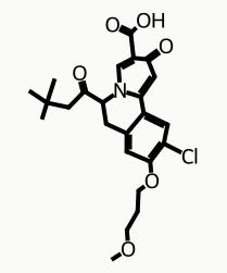 COCCCOc1cc2c(cc1Cl)-c1cc(=O)c(C(=O)O)cn1C(C(=O)CC(C)(C)C)C2